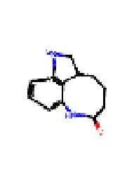 O=C1CCCC2CNc3cccc(c32)N1